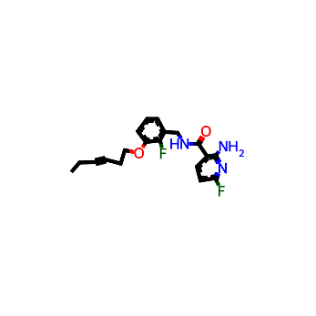 CCC#CCCOc1cccc(CNC(=O)c2ccc(F)nc2N)c1F